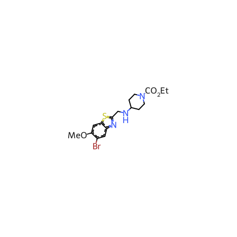 CCOC(=O)N1CCC(NCc2nc3cc(Br)c(OC)cc3s2)CC1